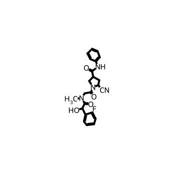 CN(CC(=O)N1CC(C(=O)Nc2ccccc2)CC1C#N)C(=O)C(O)c1ccccc1F